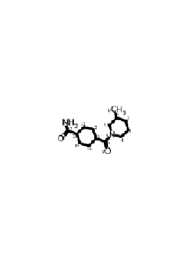 CC1CCCN(C(=O)C2CCC(C(N)=O)CC2)C1